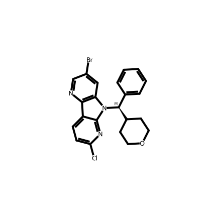 Clc1ccc2c3ncc(Br)cc3n([C@@H](c3ccccc3)C3CCOCC3)c2n1